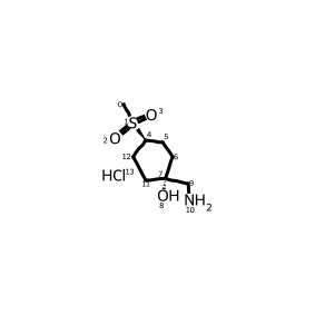 CS(=O)(=O)[C@H]1CC[C@@](O)(CN)CC1.Cl